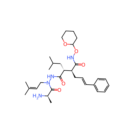 CC(C)=CCN(NC(=O)[C@H](CC(C)C)[C@H](CC=Cc1ccccc1)C(=O)NOC1CCCCO1)C(=O)[C@@H](C)N